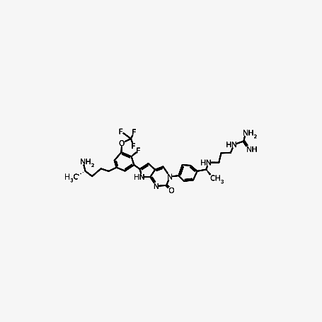 C[C@H](N)CCCc1cc(OC(F)(F)F)c(F)c(-c2cc3cn(-c4ccc([C@H](C)NCCCNC(=N)N)cc4)c(=O)nc3[nH]2)c1